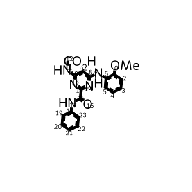 COc1ccccc1Nc1cc(NC(=O)O)nc(C(=O)Nc2ccccc2)n1